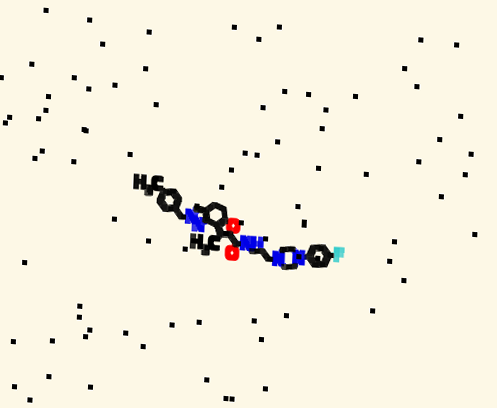 Cc1ccc(Cn2cc3c(n2)-c2c(oc(C(=O)NCCCN4CCN(c5ccc(F)cc5)CC4)c2C)CC3)cc1